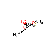 CCC(CO)(CO)CO.CCCCCCCCCCCCCOC(=S)CC